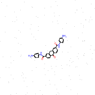 Nc1ccc(NC(=O)c2ccc3c(c2)Cc2cc(C(=O)Nc4ccc(N)cc4)ccc2C3=O)cc1